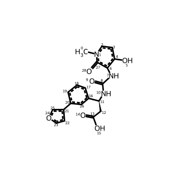 Cn1ccc(O)c(NC(=O)N[C@@H](CC(=O)O)c2cccc(-c3ccoc3)c2)c1=O